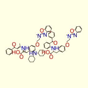 C1CCC(NC2CCCCC2)CC1.CC(=CC(=O)c1ccccc1)N[C@@H](Cc1ccc(OCCN(C)c2nc3ccccc3o2)cc1)C(=O)O.CN(CCOc1ccc(CC(Nc2ccccc2C(=O)c2ccccc2)C(=O)O)cc1)c1nc2ccccc2o1